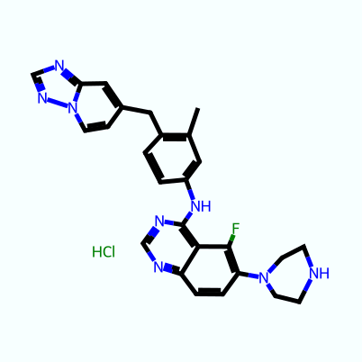 Cc1cc(Nc2ncnc3ccc(N4CCNCC4)c(F)c23)ccc1Cc1ccn2ncnc2c1.Cl